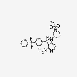 C=CS(=O)(=O)N1CCC[C@@H](n2nc(-c3ccc(C(F)(F)c4ccccc4)cc3)c3c(N)ncnc32)C1